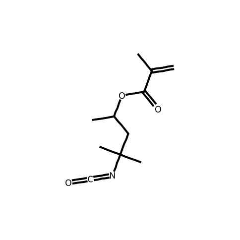 C=C(C)C(=O)OC(C)CC(C)(C)N=C=O